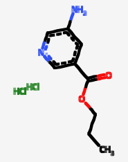 CCCOC(=O)c1cncc(N)c1.Cl.Cl